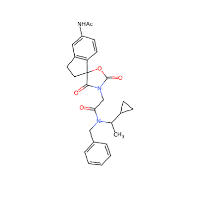 CC(=O)Nc1ccc2c(c1)CCC21OC(=O)N(CC(=O)N(Cc2ccccc2)C(C)C2CC2)C1=O